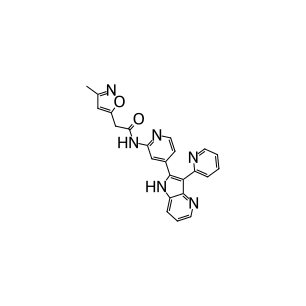 Cc1cc(CC(=O)Nc2cc(-c3[nH]c4cccnc4c3-c3ccccn3)ccn2)on1